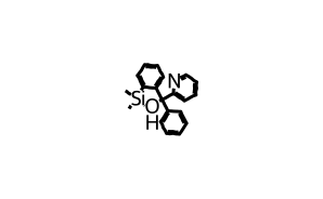 C[Si](C)(C)c1ccccc1C(O)(c1ccccc1)c1ccccn1